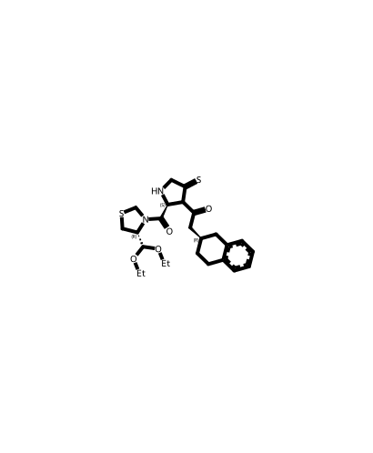 CCOC(OCC)[C@@H]1CSCN1C(=O)[C@H]1NCC(=S)C1C(=O)C[C@@H]1CCc2ccccc2C1